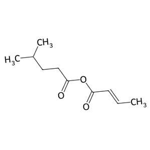 C/C=C/C(=O)OC(=O)CCC(C)C